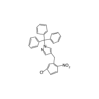 O=[N+]([O-])c1ccc(Cl)cc1Cc1cnn(C(c2ccccc2)(c2ccccc2)c2ccccc2)c1